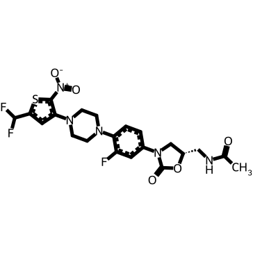 CC(=O)NC[C@H]1CN(c2ccc(N3CCN(c4cc(C(F)F)sc4[N+](=O)[O-])CC3)c(F)c2)C(=O)O1